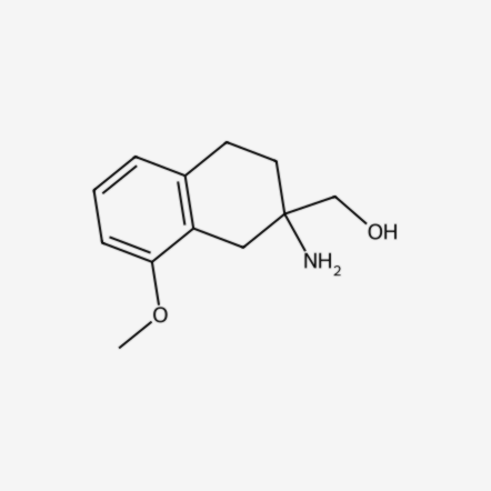 COc1cccc2c1CC(N)(CO)CC2